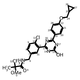 COC(C)(C(=O)NCc1ccc(Cl)c(-c2nc(O)nc(-c3ccc(OCC4CC4)cc3)n2)c1)C(F)(F)F